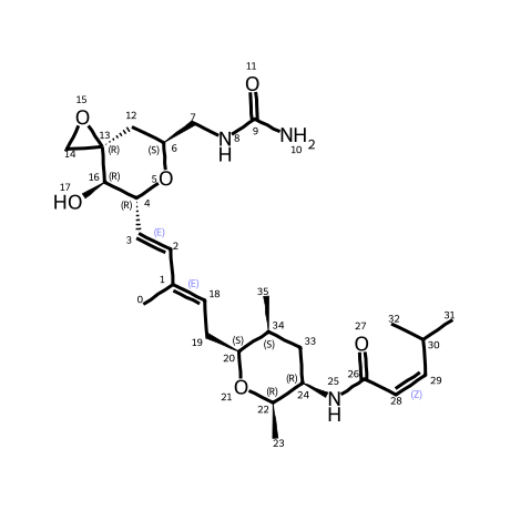 CC(/C=C/[C@H]1O[C@H](CNC(N)=O)C[C@@]2(CO2)[C@@H]1O)=C\C[C@@H]1O[C@H](C)[C@H](NC(=O)/C=C\C(C)C)C[C@@H]1C